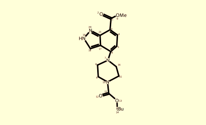 COC(=O)c1ccc(N2CCN(C(=O)OC(C)(C)C)CC2)c2c[nH]nc12